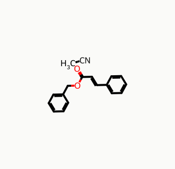 CC#N.O=C(C=Cc1ccccc1)OCc1ccccc1